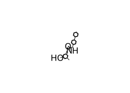 Cc1cc(O)cc(CNC(=O)Cc2ccc(-c3ccccc3)cc2)c1